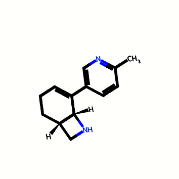 Cc1ccc(C2=CCC[C@H]3CN[C@@H]23)cn1